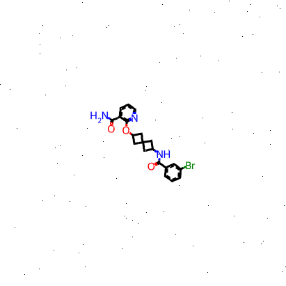 NC(=O)c1cccnc1OC1CC2(CC(NC(=O)c3cccc(Br)c3)C2)C1